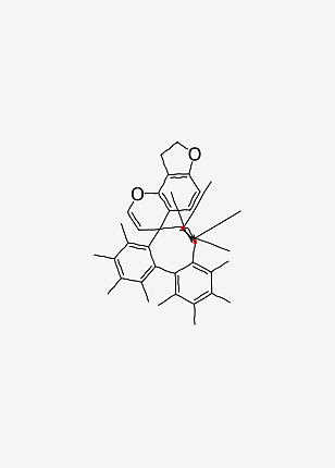 Cc1c(C)c(C)c2c(c1C)-c1c(C)c(C)c(C)c(C)c1C1(C=COc3c1ccc1c3CCO1)c1c(C)c(C)c(C)c(C)c1-2